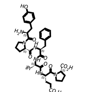 CC(C)[C@H](NC(=O)[C@H](Cc1ccccc1)NC(=O)[C@@H]1CCCN1C(=O)[C@@H](N)Cc1ccc(O)cc1)C(=O)N[C@@H](CCC(=O)O)C(=O)N1CCC[C@H]1C(=O)O